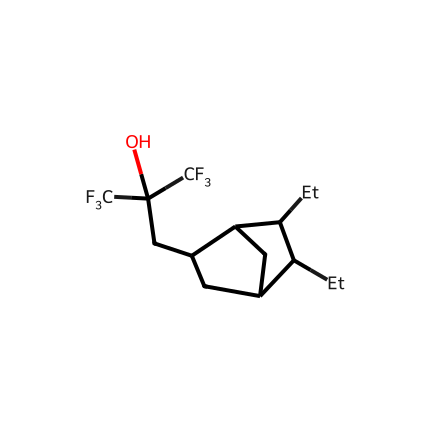 CCC1C2CC(CC(O)(C(F)(F)F)C(F)(F)F)C(C2)C1CC